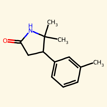 Cc1cccc(C2CC(=O)NC2(C)C)c1